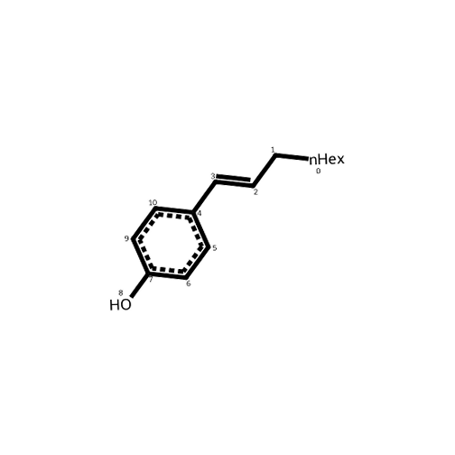 CCCCCCCC=Cc1ccc(O)cc1